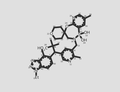 CCn1nnc2c(C)c(C(c3cnc(C)c(CN4CC5(CCOCC5)Oc5ncc(C)cc5S4(O)O)c3)C(C)(C)C(=O)O)ccc21